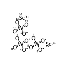 [O]=[W](=[O])([O-])[O-].[O]=[W](=[O])([O-])[O-].[O]=[W](=[O])([O-])[O-].[Sc+3].[Sc+3]